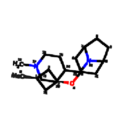 CO[C@H]1C[C@H](OC2CC3CCC(C2)N3CC2CCN(C)CC2)C1